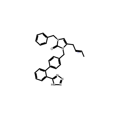 C/C=C/Cc1cn(Cc2ccccc2)c(=O)n1Cc1ccc(-c2ccccc2-c2nnn[nH]2)cc1